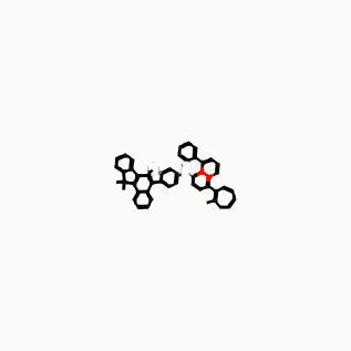 CC1=C(c2ccc(N(c3ccc4c(c3)oc3c5c(c6ccccc6c34)C(C)(C)c3ccccc3-5)c3ccccc3C3=CC=CCC3)cc2)C=CC=CC1